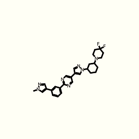 Cn1cc(-c2cccc(-c3ncc(-c4cnn(C5CCCC(N6CCC(F)(F)CC6)C5)c4)cn3)c2)cn1